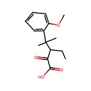 CCC(C(=O)C(=O)O)C(C)(C)c1ccccc1OC